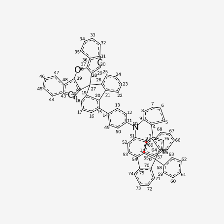 c1ccc(-c2ccccc2N(c2ccc(-c3cccc4c3-c3ccccc3C43c4ccc5ccccc5c4Oc4c3ccc3ccccc43)cc2)c2ccc3c(c2)C(c2ccccc2)(c2ccccc2)c2ccccc2-3)cc1